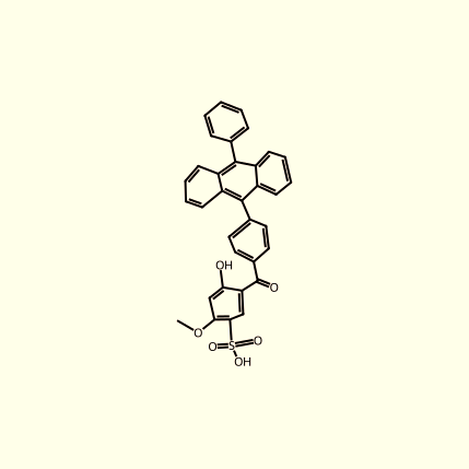 COc1cc(O)c(C(=O)c2ccc(-c3c4ccccc4c(-c4ccccc4)c4ccccc34)cc2)cc1S(=O)(=O)O